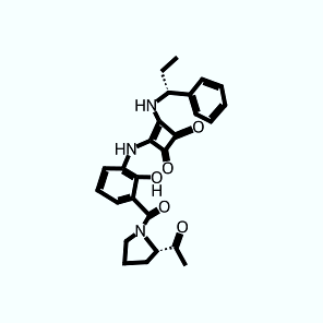 CC[C@@H](Nc1c(Nc2cccc(C(=O)N3CCC[C@H]3C(C)=O)c2O)c(=O)c1=O)c1ccccc1